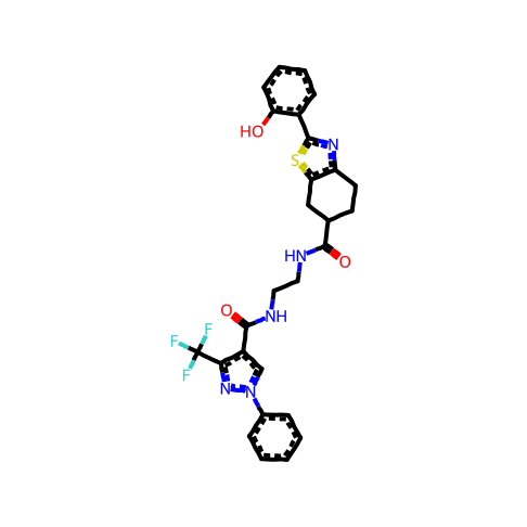 O=C(NCCNC(=O)C1CCc2nc(-c3ccccc3O)sc2C1)c1cn(-c2ccccc2)nc1C(F)(F)F